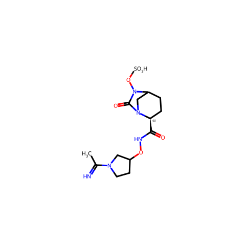 CC(=N)N1CCC(ONC(=O)[C@@H]2CCC3CN2C(=O)N3OS(=O)(=O)O)C1